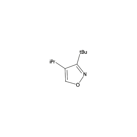 CC(C)c1conc1C(C)(C)C